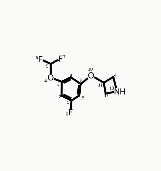 Fc1cc(OC(F)F)cc(OC2CNC2)c1